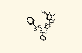 Cc1nc(Cl)nc2c1ncn2[C@H]1CC(OC(=O)c2ccccc2)[C@@H](COC(=O)c2ccccc2)O1